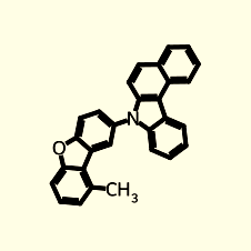 Cc1cccc2oc3ccc(-n4c5ccccc5c5c6ccccc6ccc54)cc3c12